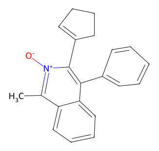 Cc1c2ccccc2c(-c2ccccc2)c(C2=CCCC2)[n+]1[O-]